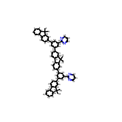 CC1(C)c2ccccc2-c2ccc(-c3cc(-c4ccc5c(c4)C(C)(C)c4cc(-c6cc(-c7ccc8c(c7)C(C)(C)c7ccccc7-8)cc(-c7ncccn7)c6)ccc4-5)cc(-c4ncccn4)c3)cc21